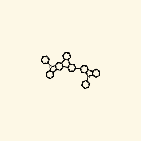 c1ccc(-n2c3ccccc3c3ccc(-c4ccc5c(c4)c4ccccc4c4cc6c(cc54)c4ccccc4n6-c4ccccc4)cc32)cc1